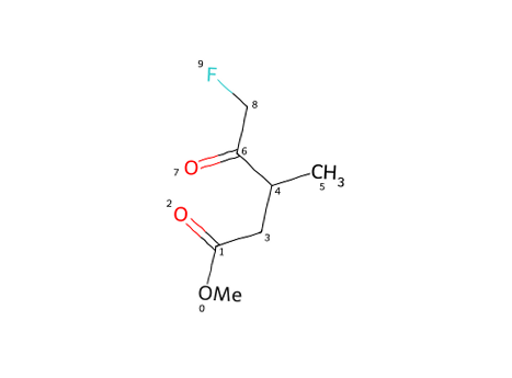 COC(=O)CC(C)C(=O)CF